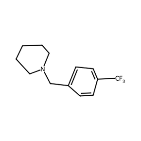 FC(F)(F)c1ccc(CN2CCCCC2)cc1